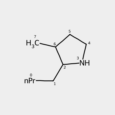 CCCCC1NCCC1C